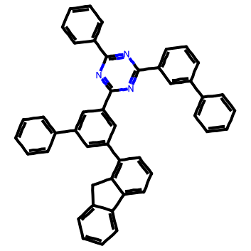 c1ccc(-c2cccc(-c3nc(-c4ccccc4)nc(-c4cc(-c5ccccc5)cc(-c5cccc6c5Cc5ccccc5-6)c4)n3)c2)cc1